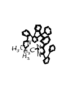 Cc1nc(-c2cccc(C3(c4ccccc4)c4ccccc4-c4c(-c5ccccc5-c5cc(C)c(C)cn5)cccc43)c2)cc(-c2ccccc2-c2ccccc2)n1